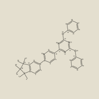 CC1(C)c2ccc(-c3ccc(-c4nc(Oc5ccccc5)nc(Oc5ccccc5)n4)cn3)cc2C(C)(C)C1(C)C